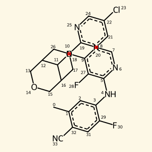 Cc1cc(Nc2ncnc(OC3C4COCC3CN(c3ncc(Cl)cn3)C4)c2F)c(F)cc1C#N